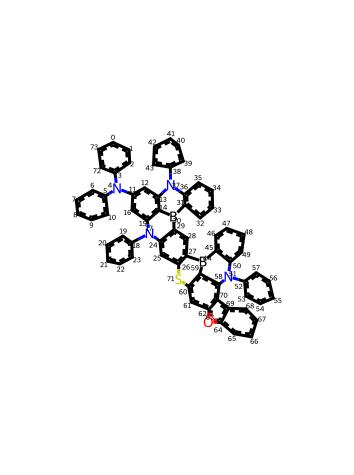 c1ccc(N(c2ccccc2)c2cc3c4c(c2)N(c2ccccc2)c2cc5c(cc2B4c2ccccc2N3c2ccccc2)B2c3ccccc3N(c3ccccc3)c3c2c(cc2oc4ccccc4c32)S5)cc1